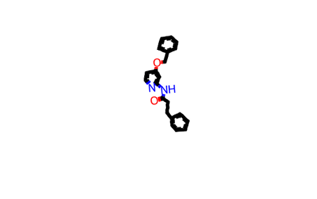 O=C(CCc1ccccc1)Nc1cc(OCc2ccccc2)ccn1